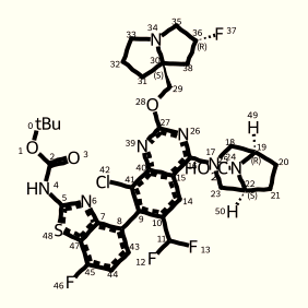 CC(C)(C)OC(=O)Nc1nc2c(-c3c(C(F)F)cc4c(N5C[C@H]6CC[C@@H](C5)N6C(=O)O)nc(OC[C@@]56CCCN5C[C@H](F)C6)nc4c3Cl)ccc(F)c2s1